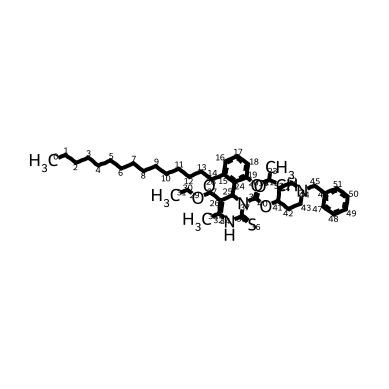 CCCCCCCCCCCCCCCc1cccc(OC(C)C)c1C1C(C(=O)OCC)=C(C)NC(=S)N1C(=O)OC1CCN(Cc2ccccc2)CC1